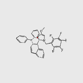 COc1cn(Cc2c(F)c(F)c(F)c(F)c2F)c(-c2c(P(c3ccccc3)c3ccccc3)ccc3ccccc23)n1